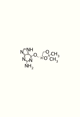 CC1(C)OC[C@@H](COc2nc(N)nc3nc[nH]c23)O1